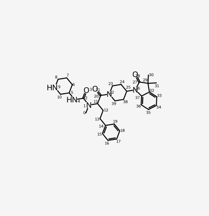 CN(C(=O)NC1CCCNC1)C(CCc1ccccc1)C(=O)N1CCC(N2C(=O)C(C)(C)c3ccccc32)CC1